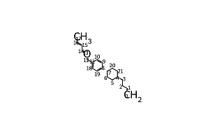 C=CCC[C@H]1CC[C@H](c2ccc(COC/C=C/C)cc2)CC1